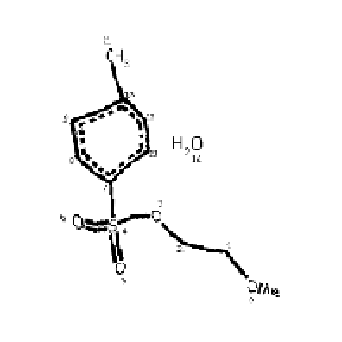 COCCOS(=O)(=O)c1ccc(C)cc1.O